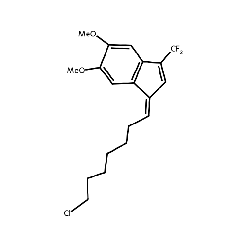 COc1cc2c(cc1OC)/C(=C\CCCCCCCl)C=C2C(F)(F)F